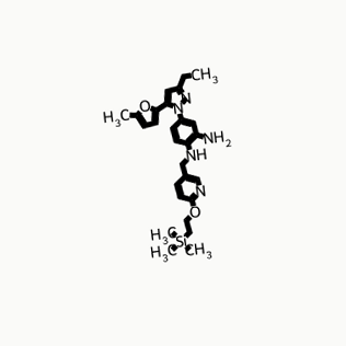 CCc1cc(-c2ccc(C)o2)n(-c2ccc(NCc3ccc(OCC[Si](C)(C)C)nc3)c(N)c2)n1